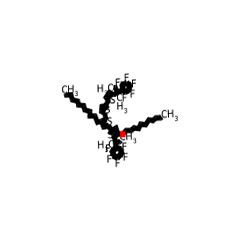 CCCCCCCCCCCCc1cc(-c2cc(CCCCCCCCCCCC)c(C(C)(CC)c3c(F)c(F)c(F)c(F)c3F)s2)sc1-c1ccc(-c2ccc(C(C)(CC)c3c(F)c(F)c(F)c(F)c3F)s2)s1